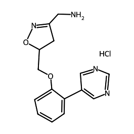 Cl.NCC1=NOC(COc2ccccc2-c2cncnc2)C1